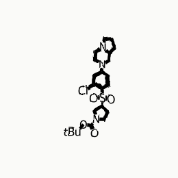 CC(C)(C)OC(=O)N1CC[C@H](S(=O)(=O)c2ccc(N3CCN4CCCC4C3)cc2Cl)C1